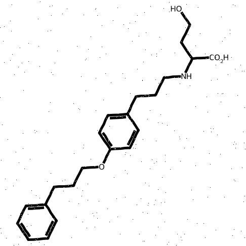 O=C(O)C(CCO)NCCCc1ccc(OCCCc2ccccc2)cc1